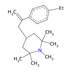 C=C(CC1CC(C)(C)N(C)C(C)(C)C1)c1ccc(CC)cc1